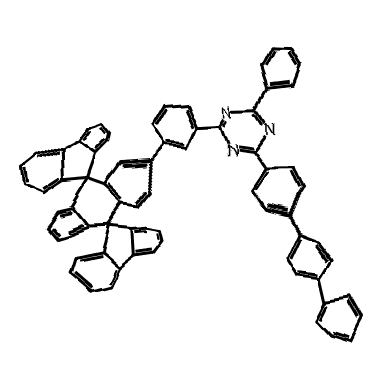 c1ccc(-c2ccc(-c3ccc(-c4nc(-c5ccccc5)nc(-c5cccc(-c6ccc7c(c6)C6(c8ccccc8-c8ccccc86)c6ccccc6C76c7ccccc7-c7ccccc76)c5)n4)cc3)cc2)cc1